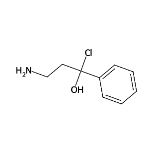 NCCC(O)(Cl)c1ccccc1